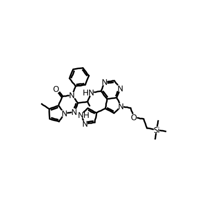 Cc1ccn2nc(C(C)Nc3ncnc4c3c(-c3cn[nH]c3)cn4COCC[Si](C)(C)C)n(-c3ccccc3)c(=O)c12